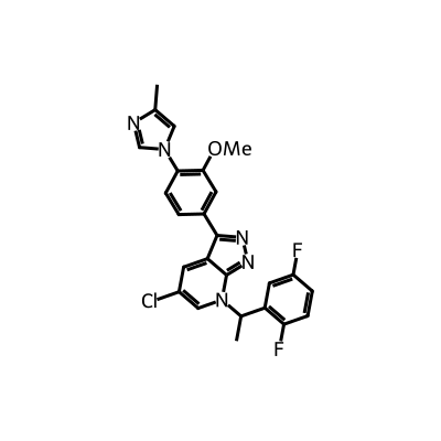 COc1cc(-c2nnc3n(C(C)c4cc(F)ccc4F)cc(Cl)cc2-3)ccc1-n1cnc(C)c1